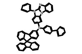 C1=CC2c3ccccc3C3(c4ccccc4-c4cc(N(c5ccc(-c6ccccc6)cc5)c5ccc6c(c5)n5c7ccccc7nc5n6-c5ccccc5)ccc43)C2C=C1